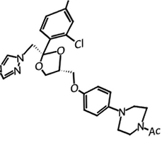 CC(=O)N1CCN(c2ccc(OC[C@@H]3CO[C@@](Cn4cncn4)(c4ccc(Cl)cc4Cl)O3)cc2)CC1